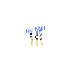 N=C=S.N=C=S.N=C=S